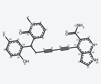 Cn1cccc(C(CC#CC#Cc2c(C(N)=O)cnc3[nH]ccc23)c2cc(F)ccc2O)c1=O